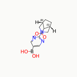 COC(=O)C1[C@@H]2CC[C@H]1CN(c1ncc(B(O)O)cn1)C2